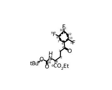 CCOC(=O)[C@@H](CCC(=O)c1cc(F)c(F)cc1F)NC(=O)OC(C)(C)C